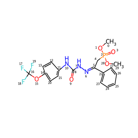 COP(=O)(CC(=NNC(=O)Nc1ccc(OC(F)(F)F)cc1)c1ccccc1)OC